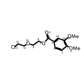 COc1ccc(C(=O)OCCOCCCl)cc1OC